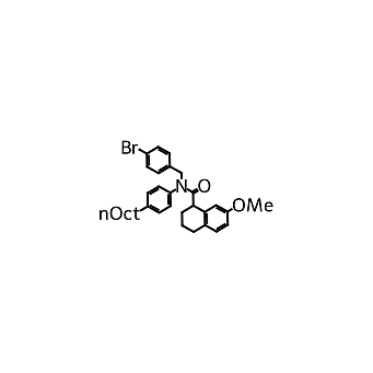 CCCCCCCCc1ccc(N(Cc2ccc(Br)cc2)C(=O)C2CCCc3ccc(OC)cc32)cc1